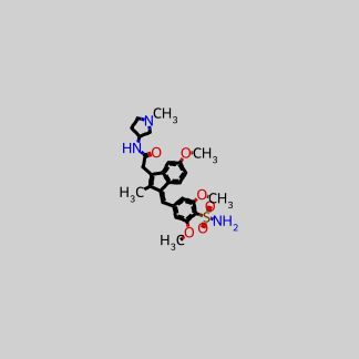 COc1ccc2c(c1)C(CC(=O)NC1CCN(C)C1)=C(C)/C2=C/c1cc(OC)c(S(N)(=O)=O)c(OC)c1